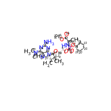 C=C[C@]1(C)C[C@@H](CO[P@@](=O)(N[C@H](C)C(=O)OC(C)C)Oc2ccccc2)O[C@H]1n1cnc2c(N(C)C)nc(N)nc21